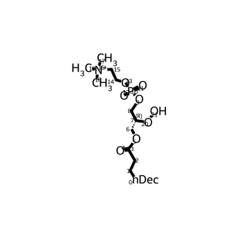 CCCCCCCCCCCCC(=O)OC[C@H](COP(=O)([O-])OCC[N+](C)(C)C)OO